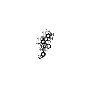 [2H]c1c([2H])c([2H])c(C(O[C@@H]2CCCN(CC([2H])([2H])c3ccc4c(c3)OCO4)C2)c2c([2H])c([2H])c([2H])c([2H])c2[2H])c([2H])c1[2H]